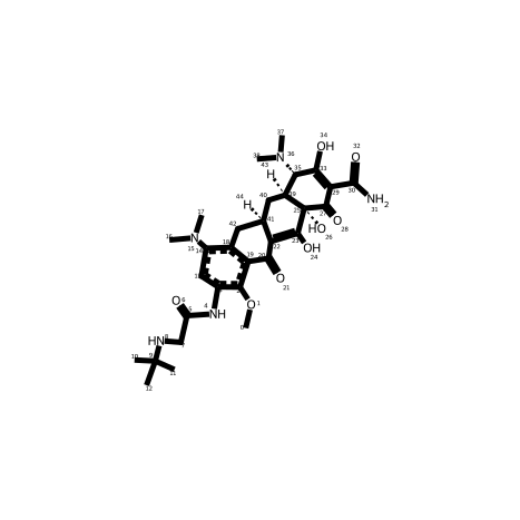 COc1c(NC(=O)CNC(C)(C)C)cc(N(C)C)c2c1C(=O)C1=C(O)[C@]3(O)C(=O)C(C(N)=O)=C(O)[C@@H](N(C)C)[C@@H]3C[C@@H]1C2